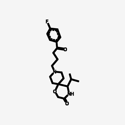 CC(C)C1NC(=O)COC12CCN(CCCC(=O)c1ccc(F)cc1)CC2